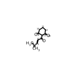 CN(C)C=CC(=O)C1C(=O)CCCC1=O